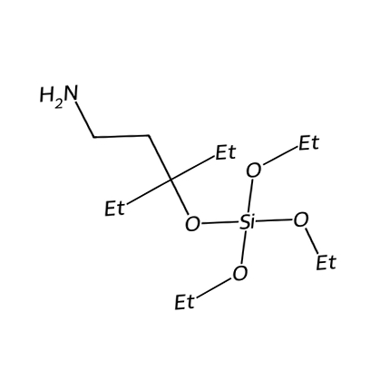 CCO[Si](OCC)(OCC)OC(CC)(CC)CCN